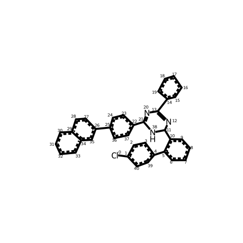 Clc1ccc(-c2ccccc2C2N=C(c3ccccc3)N=C(c3ccc(-c4ccc5ccccc5c4)cc3)N2)cc1